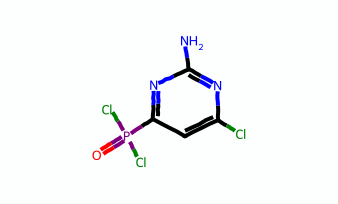 Nc1nc(Cl)cc(P(=O)(Cl)Cl)n1